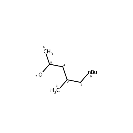 CCCCCC(C)CC(C)[O]